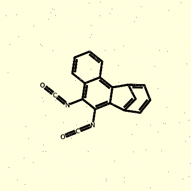 O=C=Nc1c2c(c3ccccc3c1N=C=O)-c1cccc-2c1